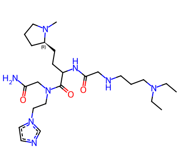 CCN(CC)CCCNCC(=O)NC(CC[C@H]1CCCN1C)C(=O)N(CCn1ccnc1)CC(N)=O